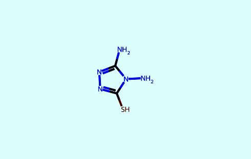 Nc1nnc(S)n1N